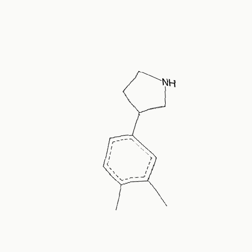 Cc1ccc([C]2CCNC2)cc1C